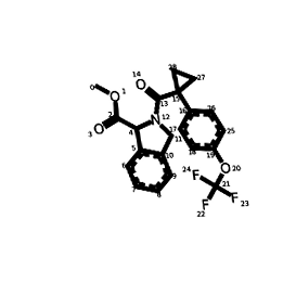 COC(=O)C1c2ccccc2CN1C(=O)C1(c2ccc(OC(F)(F)F)cc2)CC1